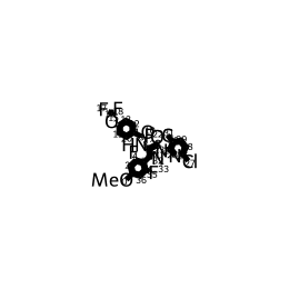 COc1cc(F)c(-c2c(NC(=O)c3ccc(OC(F)F)cc3)c(=O)n(-c3nc(Cl)ccc3C(F)(F)F)n2C)c(F)c1